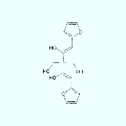 OCC(CO)(C(O)=Cc1ccco1)C(O)=Cc1ccco1